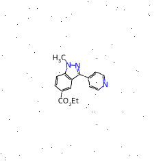 CCOC(=O)c1ccc2c(c1)c(-c1ccncc1)nn2C